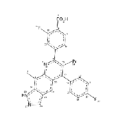 Cc1c2nc(-c3ccc(C(=O)O)c(F)c3)c(C(C)C)c(-c3ccc(F)cc3)c2cc2cn[nH]c12